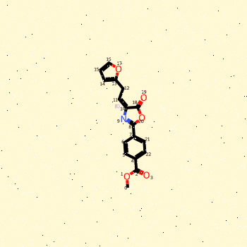 COC(=O)c1ccc(C2=N/C(=C/Cc3ccco3)C(=O)O2)cc1